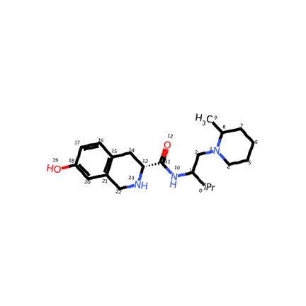 CC(C)C(CN1CCCCC1C)NC(=O)[C@H]1Cc2ccc(O)cc2CN1